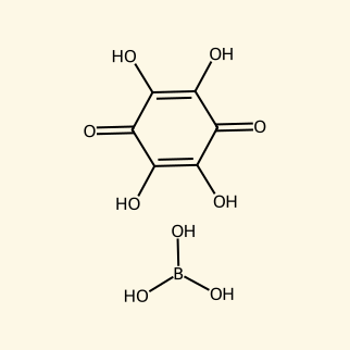 O=C1C(O)=C(O)C(=O)C(O)=C1O.OB(O)O